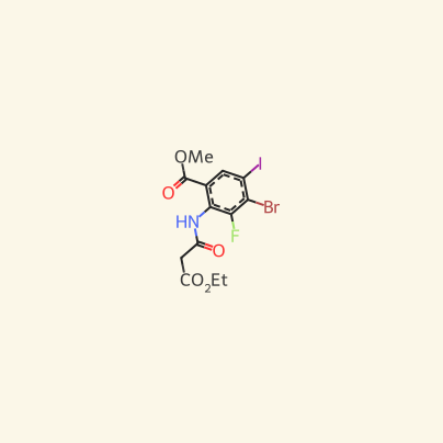 CCOC(=O)CC(=O)Nc1c(C(=O)OC)cc(I)c(Br)c1F